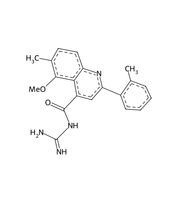 COc1c(C)ccc2nc(-c3ccccc3C)cc(C(=O)NC(=N)N)c12